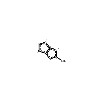 Cc1nc2ncsc2s1